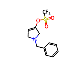 O=S(=O)(OC1=CCN(Cc2ccccc2)C1)C(F)(F)F